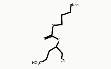 CCCCCCCCCCCCSC(=S)SC(CC#N)CCC(=O)O